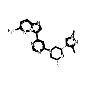 Cc1nn(C)cc1[C@H]1CN(c2cc(-c3cnc4ccc(C(F)(F)F)nn34)ncn2)C[C@@H](C)O1